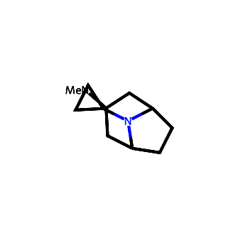 CNC1CC2CCC(C1)N2C1CC1